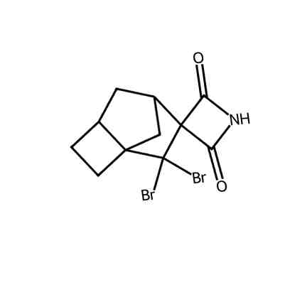 O=C1NC(=O)C12C1CC3CCC3(C1)C2(Br)Br